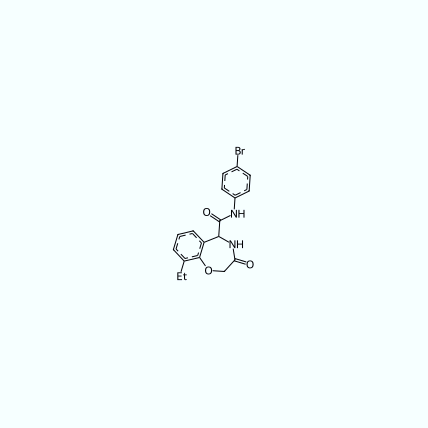 CCc1cccc2c1OCC(=O)NC2C(=O)Nc1ccc(Br)cc1